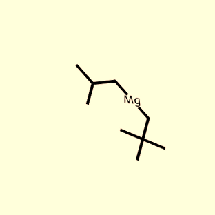 CC(C)[CH2][Mg][CH2]C(C)(C)C